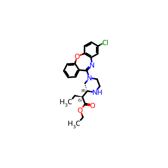 CCOC(=O)[C@@H](CC)[C@@H]1CN(C2=Nc3cc(Cl)ccc3Oc3ccccc32)CCN1